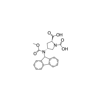 COC(=O)N(C1c2ccccc2-c2ccccc21)[C@@H]1C[C@@H](C(=O)O)N(C(=O)O)C1